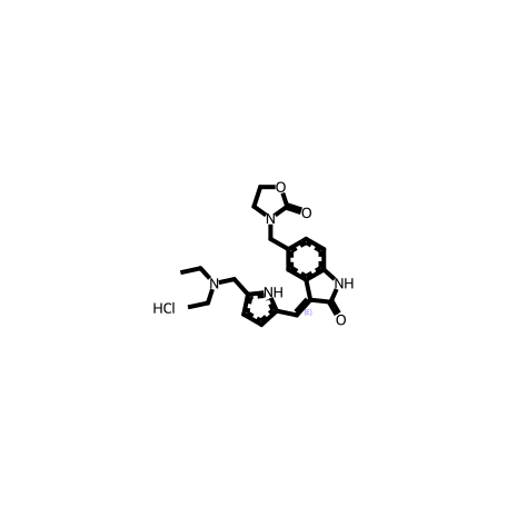 CCN(CC)Cc1ccc(/C=C2/C(=O)Nc3ccc(CN4CCOC4=O)cc32)[nH]1.Cl